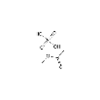 COC(C)=O.O=S(=O)(O)O